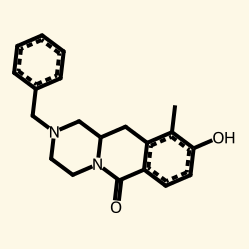 Cc1c(O)ccc2c1CC1CN(Cc3ccccc3)CCN1C2=O